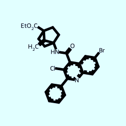 C=C1C2(NC(=O)c3c(Cl)c(-c4ccccc4)nc4ccc(Br)cc34)CCC1(C(=O)OCC)CC2